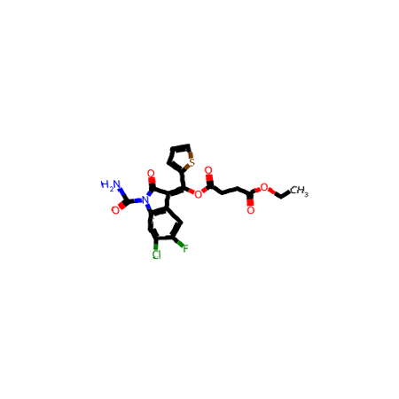 CCOC(=O)CCC(=O)O/C(=C1/C(=O)N(C(N)=O)c2cc(Cl)c(F)cc21)c1cccs1